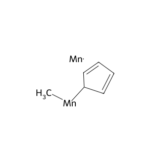 [CH3][Mn][CH]1C=CC=C1.[Mn]